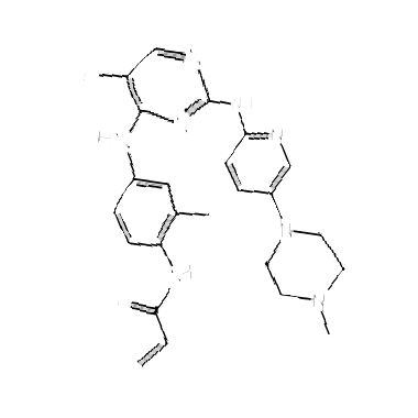 C=CC(=O)Nc1ccc(Nc2nc(Nc3ccc(N4CCN(C)CC4)cn3)ncc2Cl)cc1Cl